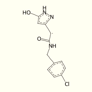 O=C([CH]c1cc(O)[nH]n1)NCc1ccc(Cl)cc1